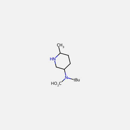 CC1CCC(N(C(=O)O)C(C)(C)C)CN1